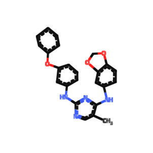 Cc1cnc(Nc2cccc(Oc3ccccc3)c2)nc1Nc1ccc2c(c1)OCO2